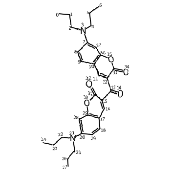 CCCN(CCC)c1ccc2cc(C(=O)c3cc4ccc(N(CCC)CCC)cc4oc3=O)c(=O)oc2c1